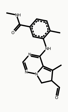 CNC(=O)c1ccc(C)c(NC2=NC=NN3CC(C=O)C(C)=C23)c1